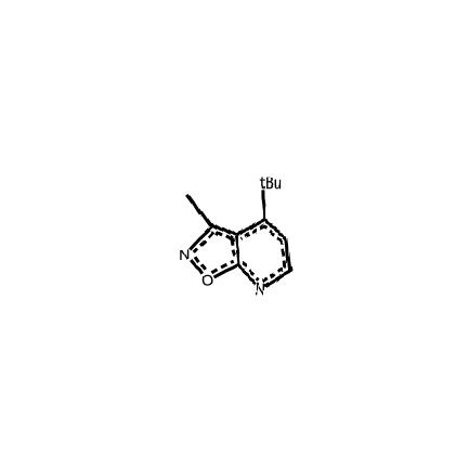 Cc1noc2nccc(C(C)(C)C)c12